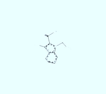 CCn1c(C(=O)O)c(C)c2c[c]ccc21